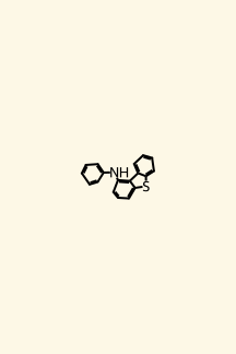 c1ccc(Nc2cccc3sc4ccccc4c23)cc1